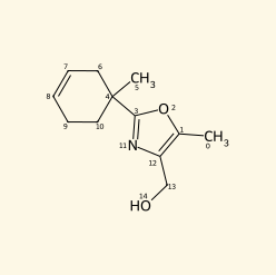 Cc1oc(C2(C)CC=CCC2)nc1CO